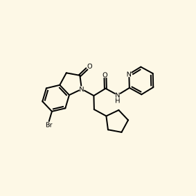 O=C(Nc1ccccn1)C(CC1CCCC1)N1C(=O)Cc2ccc(Br)cc21